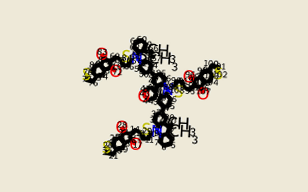 CC1(C)c2ccccc2N(c2ccc(/C=C3\C(=O)c4cc5ccsc5cc4C3=O)s2)c2ccc(-c3ccc4c(c3)[Si]3(CCOCC3)c3cc(-c5ccc6c(c5)[Si](C)(C)c5ccccc5N6c5ccc(/C=C6\C(=O)c7cc8ccsc8cc7C6=O)s5)ccc3N4c3ccc(/C=C4\C(=O)c5cc6ccsc6cc5C4=O)s3)cc21